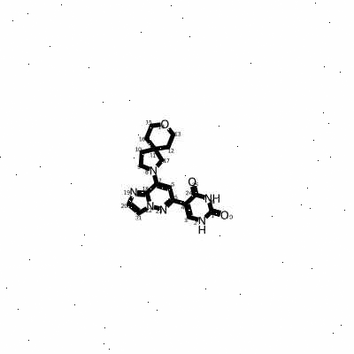 O=c1[nH]cc(-c2cc(N3CCC4(CCOCC4)C3)c3nccn3n2)c(=O)[nH]1